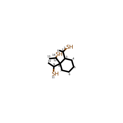 CC(S)C1CCCCC1(C(C)S)C(C)S